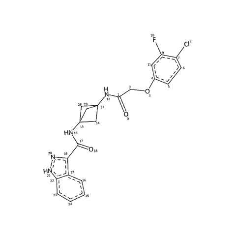 O=C(COc1ccc(Cl)c(F)c1)NC12CC(NC(=O)c3n[nH]c4ccccc34)(C1)C2